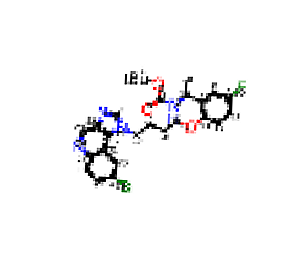 CC(NC(=O)OC(C)(C)C)c1cc(F)ccc1OCCCCn1cnc2cnc3ccc(Br)cc3c21